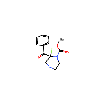 CC(C)(C)OC(=O)N1CCNCC1(F)C(=O)c1ccccc1